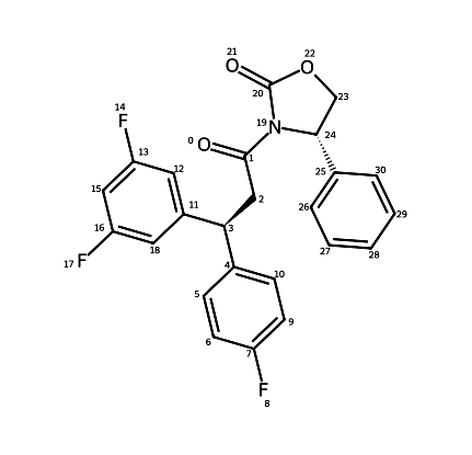 O=C(C[C@@H](c1ccc(F)cc1)c1cc(F)cc(F)c1)N1C(=O)OC[C@@H]1c1ccccc1